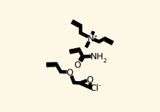 C=CC(N)=O.C=CCOCC1CO1.C=CC[N+](C)(C)CC=C.[Cl-]